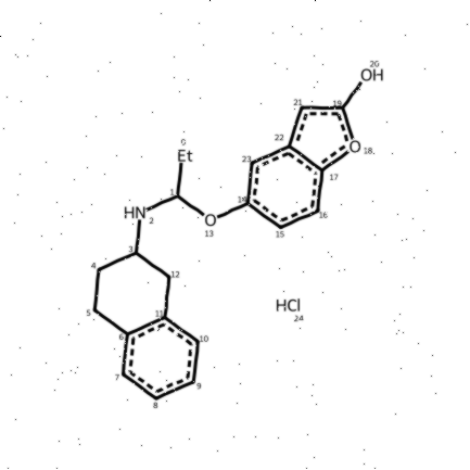 CCC(NC1CCc2ccccc2C1)Oc1ccc2oc(O)cc2c1.Cl